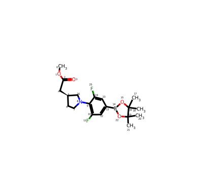 COC(=O)C[C@@H]1CCN(c2c(F)cc(B3OC(C)(C)C(C)(C)O3)cc2F)C1